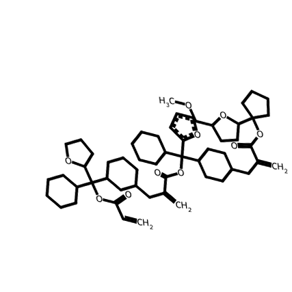 C=CC(=O)OC(C1CCCCC1)(C1CCCC(CC(=C)C(=O)OC(c2ccco2)(C2CCCCC2)C2CCC(CC(=C)C(=O)OC3(C4CCC(COC)O4)CCCC3)CC2)C1)C1CCCO1